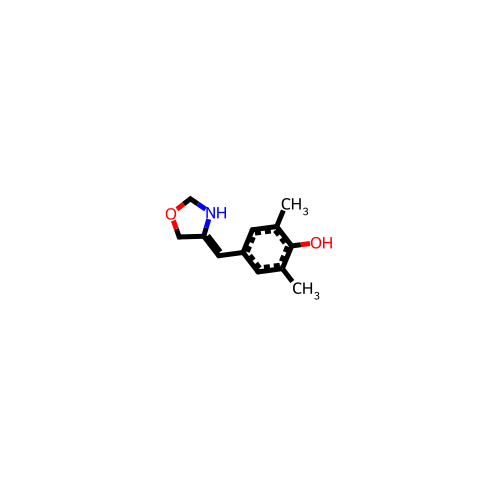 Cc1cc(C=C2COCN2)cc(C)c1O